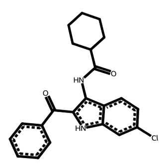 O=C(c1ccccc1)c1[nH]c2cc(Cl)ccc2c1NC(=O)C1CCCCC1